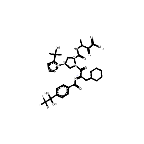 CC(NC(=O)[C@@H]1C[C@H](n2nncc2C(C)(C)O)CN1C(=O)/C(CC1CCCCC1)=N/C(=O)c1ccc(C(O)(O)C(F)(F)F)cc1)C(=O)C(N)=O